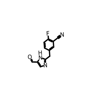 N#Cc1cc(Cc2ncc(C=O)[nH]2)ccc1F